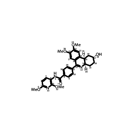 COc1ccc(NC(=O)c2ccc(C3=N[C@@H]4CC[C@@H](O)C[C@@H]4c4cc(OC)c(OC)cc43)cc2)c(OC)n1